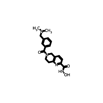 CN(C)Cc1cccc(C(=O)N2CCc3nc(C(=O)NO)ccc3C2)c1